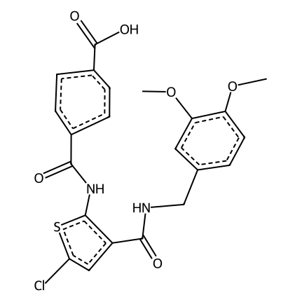 COc1ccc(CNC(=O)c2cc(Cl)sc2NC(=O)c2ccc(C(=O)O)cc2)cc1OC